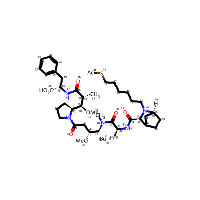 CC[C@H](C)[C@@H]([C@@H](CC(=O)N1CCC[C@H]1[C@H](OC)[C@@H](C)C(=O)N[C@@H](Cc1ccccc1)C(=O)O)OC)N(C)C(=O)[C@@H](NC(=O)[C@@H]1C2CC[C@@H](C2)N1CCCCCCSC(C)=O)C(C)C